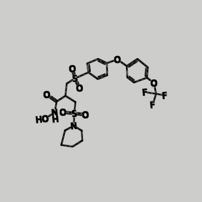 O=C(NO)C(CS(=O)(=O)c1ccc(Oc2ccc(OC(F)(F)F)cc2)cc1)CS(=O)(=O)N1CCCCC1